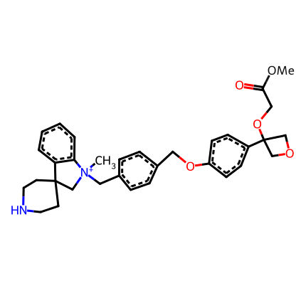 COC(=O)COC1(c2ccc(OCc3ccc(C[N+]4(C)CC5(CCNCC5)c5ccccc54)cc3)cc2)COC1